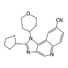 N#Cc1ccc2ncc3nc(C4CCCC4)n(C4CCOCC4)c3c2c1